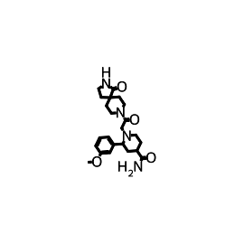 COc1cccc(C2CC(C(N)=O)CCN2CC(=O)N2CCC3(CCNC3=O)CC2)c1